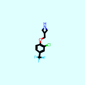 FC(F)(F)c1ccc(OCC2CNC2)c(Cl)c1